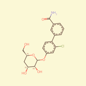 NC(=O)c1cccc(-c2ccc(OC3O[C@H](CO)C[C@H](O)[C@@H]3O)cc2Cl)c1